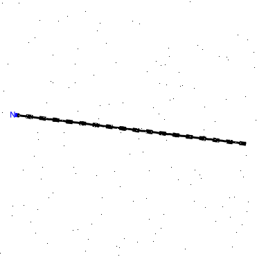 C#CC#CC#CC#CC#CC#CC#CC#CC#CC#CC#CC#CC#CC#CC#CC#CC#CC#N